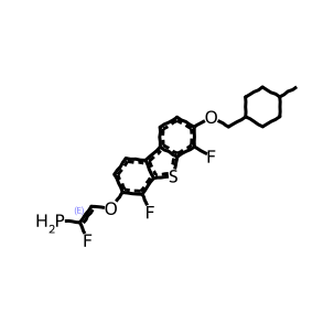 CC1CCC(COc2ccc3c(sc4c(F)c(O/C=C(\F)P)ccc43)c2F)CC1